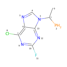 CC(P)n1cnc2c(Cl)nc(F)nc21